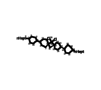 CCCCCCCC1CCC(C2CC[C@]3(CC2)C[C@@]2(CC[C@H](C4CCC(CCCCCCC)CC4)CC2)C3(Cl)Cl)CC1